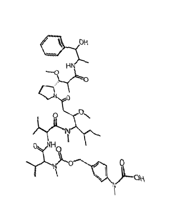 CCC(C)C(C(CC(=O)N1CCC[C@@H]1C(OC)C(C)C(=O)NC(C)C(O)c1ccccc1)OC)N(C)C(=O)C(NC(=O)C(C(C)C)N(C)C(=O)OCc1ccc(N(C)C(=O)O)cc1)C(C)C